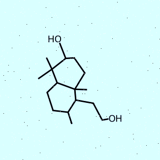 CC1CCC2C(C)(C)C(O)CCC2(C)C1CCO